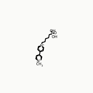 C[n+]1ccc(-c2cc[n+](CCCCCP(=O)(O)O)cc2)cc1